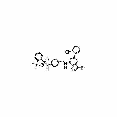 O=S(=O)(Nc1ccc(CNc2cc(-c3ccccc3Cl)nc3c(Br)cnn23)cc1)c1ccccc1C(F)(F)F